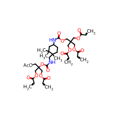 C=CC(=O)OCC(COC(=O)C=C)(COC(=O)C=C)COC(=O)NC1CCC(C)(CNC(=O)OC(COC(C)=O)(COC(=O)C=C)COC(=O)C=C)C(C)(C)C1